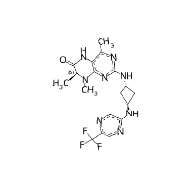 Cc1nc(N[C@H]2C[C@H](Nc3cnc(C(F)(F)F)cn3)C2)nc2c1NC(=O)[C@H](C)N2C